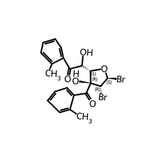 Cc1ccccc1C(=O)C(O)[C@@H]1O[C@@H](Br)[C@H](Br)[C@]1(O)C(=O)c1ccccc1C